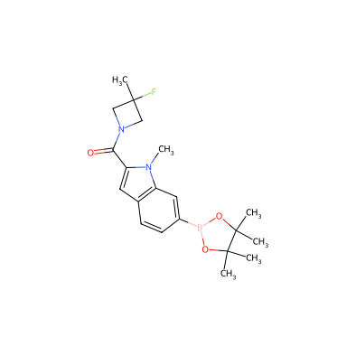 Cn1c(C(=O)N2CC(C)(F)C2)cc2ccc(B3OC(C)(C)C(C)(C)O3)cc21